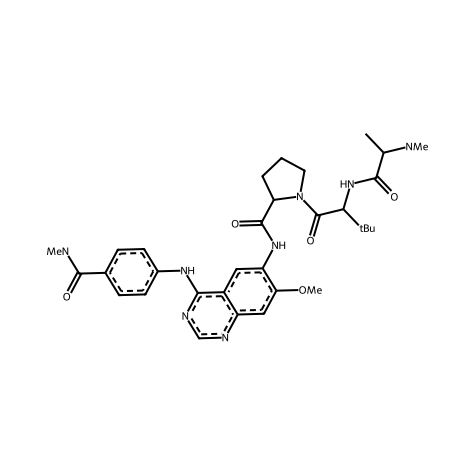 CNC(=O)c1ccc(Nc2ncnc3cc(OC)c(NC(=O)C4CCCN4C(=O)C(NC(=O)C(C)NC)C(C)(C)C)cc23)cc1